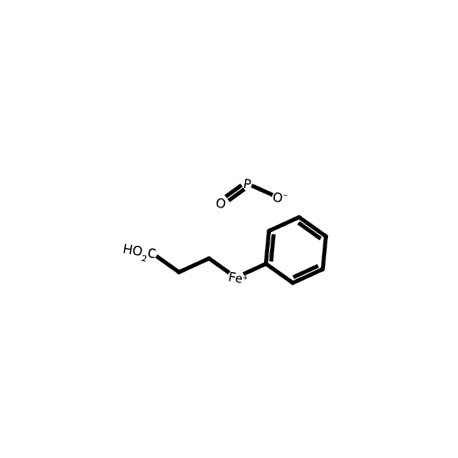 O=C(O)C[CH2][Fe+][c]1ccccc1.O=P[O-]